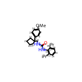 COc1ccc(C2(CNC(=O)Nc3c(C(C)C)cccc3C(C)C)CCCC2)cc1